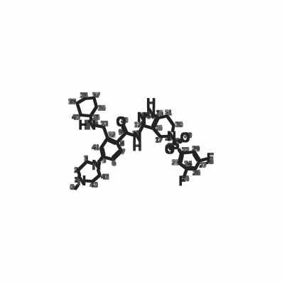 CN1CCN(c2ccc(C(=O)Nc3n[nH]c4c3CN(S(=O)(=O)c3cc(F)cc(F)c3)CC4)c(CNC3CCCCC3)c2)CC1